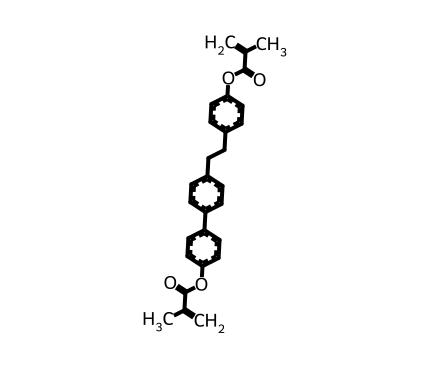 C=C(C)C(=O)Oc1ccc(CCc2ccc(-c3ccc(OC(=O)C(=C)C)cc3)cc2)cc1